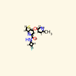 Cc1ccc(Oc2cc(C(=O)NC3CC(F)C3)nc3ccsc23)cn1